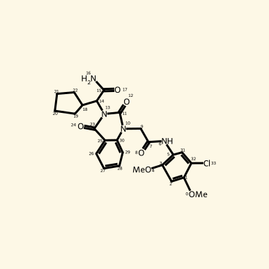 COc1cc(OC)c(NC(=O)Cn2c(=O)n(C(C(N)=O)C3CCCC3)c(=O)c3ccccc32)cc1Cl